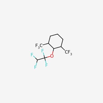 FC(F)C(F)(F)OC1C(C(F)(F)F)CCCC1C(F)(F)F